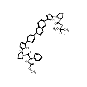 COC(=O)N[C@@H](C(=O)N1CCC[C@H]1c1ncc(-c2ccc(-c3ccc4cc(-c5cnc([C@@H]6CCCN6C(=O)OC(C)(C)C)[nH]5)ccc4c3)cc2)[nH]1)c1ccccc1